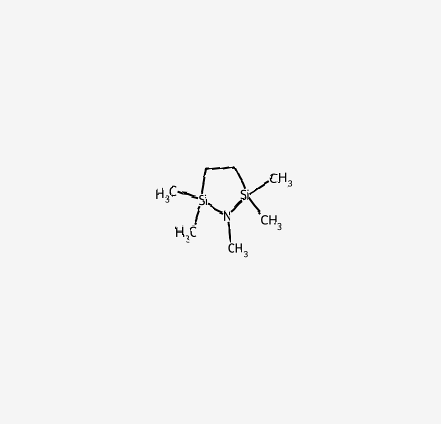 CN1[Si](C)(C)CC[Si]1(C)C